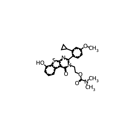 COc1ccc(-c2nc3sc4c(O)cccc4c3c(=O)n2CCOC(=O)N(C)C)c(C2CC2)c1